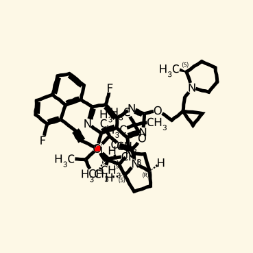 CC(C)[Si](C#Cc1c(F)ccc2cccc(-c3nc4c5c(nc(OCC6(CN7CCCC[C@@H]7C)CC6)nc5c3F)N3C[C@H]5CC[C@@H]([C@H]3[C@H](C)O4)N5C(=O)OC(C)(C)C)c12)(C(C)C)C(C)C